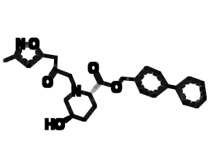 Cc1cc(CC(=O)CN2C[C@H](O)CC[C@H]2C(=O)OCc2ccc(-c3ccccc3)cc2)on1